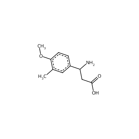 COc1ccc(C(N)CC(=O)O)cc1C